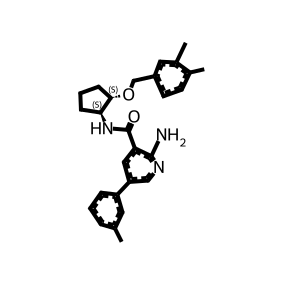 Cc1cccc(-c2cnc(N)c(C(=O)N[C@H]3CCC[C@@H]3OCc3ccc(C)c(C)c3)c2)c1